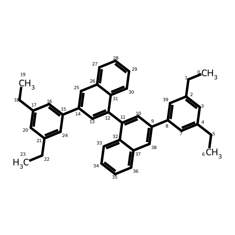 CCc1cc(CC)cc(-c2cc(-c3cc(-c4cc(CC)cc(CC)c4)cc4ccccc34)c3ccccc3c2)c1